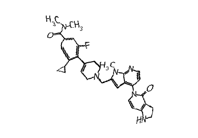 CN(C)C(=O)c1cc(F)c(C2=CCN(Cc3cc4c(-n5ccc6c(c5=O)CCN6)ccnc4n3C)CC2)c(C2CC2)c1